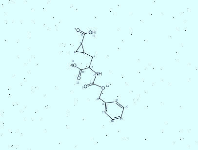 O=C(NC(CC1CC1C(=O)O)C(=O)O)OCc1ccccc1